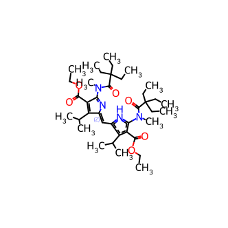 CCOC(=O)C1=C(C(C)C)/C(=C/c2[nH]c(N(C)C(=O)C(CC)(CC)CC)c(C(=O)OCC)c2C(C)C)N=C1N(C)C(=O)C(CC)(CC)CC